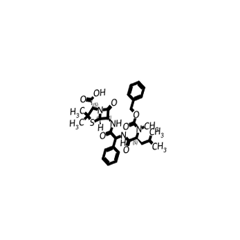 CC(C)C[C@@H](C(=O)NC(C(=O)N[C@@H]1C(=O)N2[C@@H]1SC(C)(C)[C@@H]2C(=O)O)c1ccccc1)N(C)C(=O)OCc1ccccc1